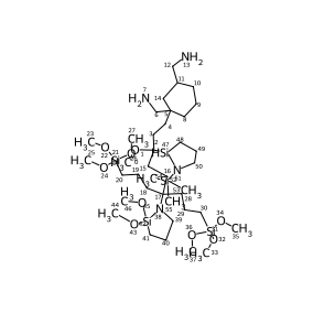 COC(CCC1(CN)CCCC(CN)C1)(CCC(CCC[Si](OC)(OC)OC)(CCC[Si](OC)(OC)OC)N1CCC[Si]1(OC)OC)[SiH]1CCCN1[Si](C)(C)C